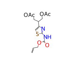 C=CCOC(=O)Nc1nc(C(COC(C)=O)COC(C)=O)cs1